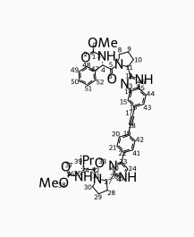 COC(=O)N[C@H](C(=O)N1CCC[C@H]1c1nc2cc(C#Cc3ccc(-c4c[nH]c([C@@H]5CCCN5C(=O)[C@@H](NC(=O)OC)C(C)C)n4)cc3)ccc2[nH]1)c1ccccc1